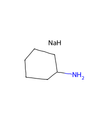 NC1CCCCC1.[NaH]